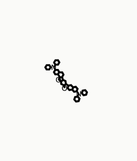 c1ccc(N(c2ccccc2)c2ccc3cc4c(cc3c2)oc2cc3oc5c6ccc(N(c7ccccc7)c7ccccc7)cc6ccc5c3cc24)cc1